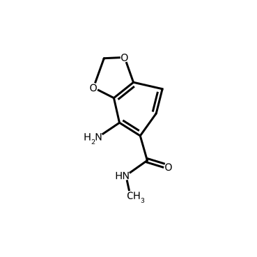 CNC(=O)c1ccc2c(c1N)OCO2